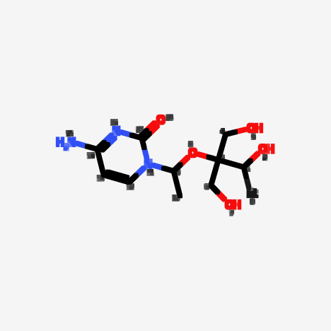 CCC(O)C(CO)(CO)OC(C)n1ccc(N)nc1=O